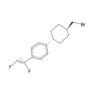 F/C=C(\F)c1ccc([C@H]2CC[C@H](CBr)CC2)cc1